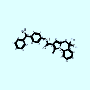 Cc1c(C(=O)Nc2ccc(C(C#N)c3ccccc3)cc2)cc2n1-c1ccccc1C(F)(F)C2